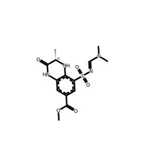 COC(=O)c1cc2c(c(S(=O)(=O)N=CN(C)C)c1)N[C@@H](C)C(=O)N2